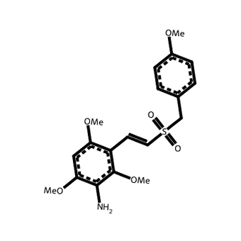 COc1ccc(CS(=O)(=O)C=Cc2c(OC)cc(OC)c(N)c2OC)cc1